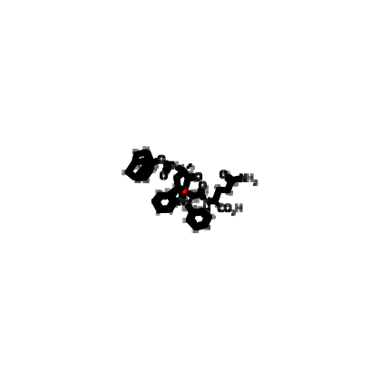 C[C@](Cc1c[nH]c2ccccc12)(NC(=O)OC1C2CC3CC(C2)CC1C3)C(=O)N[C@@H](Cc1ccccc1)C(=O)N[C@@H](CCC(N)=O)C(=O)O